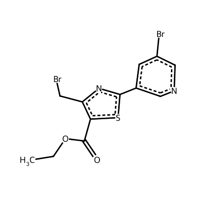 CCOC(=O)c1sc(-c2cncc(Br)c2)nc1CBr